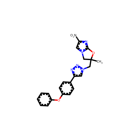 CC1(Cn2cc(-c3ccc(Oc4ccccc4)cc3)nn2)Cn2cc([N+](=O)[O-])nc2O1